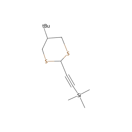 CC(C)(C)C1CSC(C#C[Si](C)(C)C)SC1